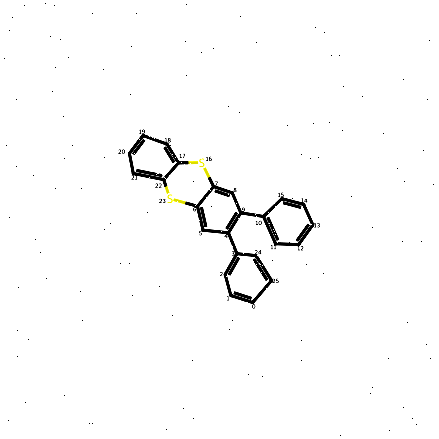 c1ccc(-c2cc3c(cc2-c2ccccc2)Sc2ccccc2S3)cc1